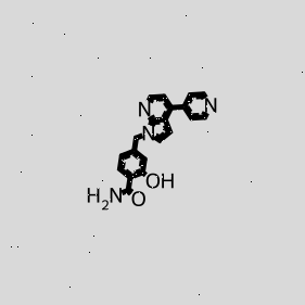 NC(=O)c1ccc(Cn2ccc3c(-c4ccncc4)ccnc32)cc1O